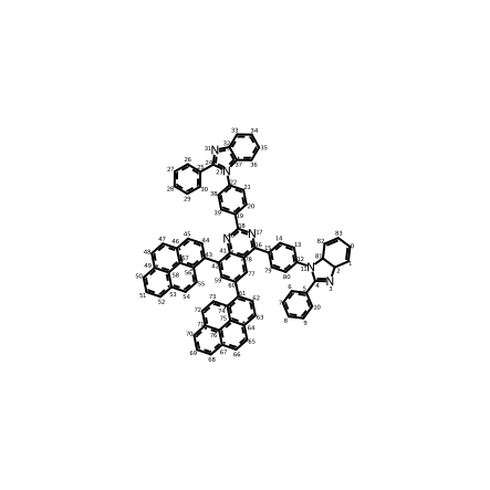 C1=CC2N=C(c3ccccc3)N(c3ccc(-c4nc(-c5ccc(-n6c(-c7ccccc7)nc7ccccc76)cc5)nc5c(-c6ccc7ccc8cccc9ccc6c7c89)cc(-c6ccc7ccc8cccc9ccc6c7c89)cc45)cc3)C2C=C1